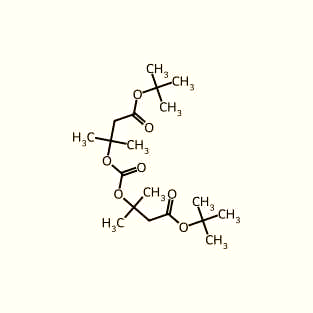 CC(C)(C)OC(=O)CC(C)(C)OC(=O)OC(C)(C)CC(=O)OC(C)(C)C